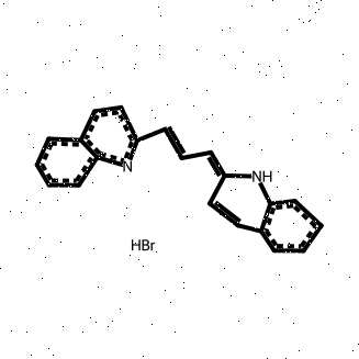 Br.C(=Cc1ccc2ccccc2n1)C=C1C=Cc2ccccc2N1